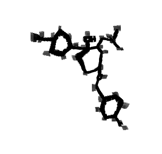 CC(C)c1ccc(C2(O)CCC(OCc3ccc(F)cc3)CC2CN(C)C)cc1